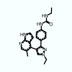 CCNC(=O)Nc1ccc(-c2nn(CC)cc2-c2c(C)cnc3[nH]ccc23)cc1